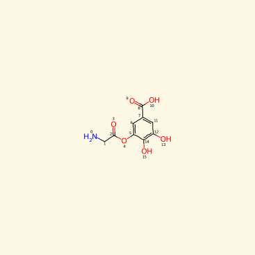 NCC(=O)Oc1cc(C(=O)O)cc(O)c1O